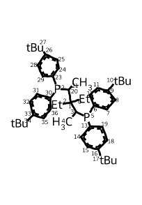 CCC(CC)(C(C)P(c1ccc(C(C)(C)C)cc1)c1ccc(C(C)(C)C)cc1)C(C)P(c1ccc(C(C)(C)C)cc1)c1ccc(C(C)(C)C)cc1